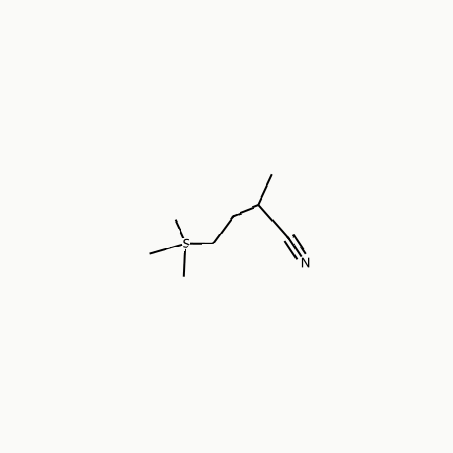 CC(C#N)CCS(C)(C)C